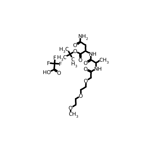 COCCOCCOCC(=O)NC(C)C(=O)NC(CC(N)=O)C(=O)OC(C)(C)C.O=C(O)C(F)(F)F